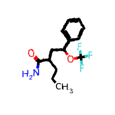 CCCC(CC(OC(F)(F)F)c1ccccc1)C(N)=O